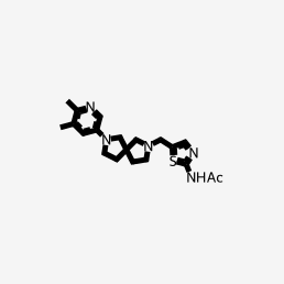 CC(=O)Nc1ncc(CN2CCC3(CCN(c4cnc(C)c(C)c4)C3)C2)s1